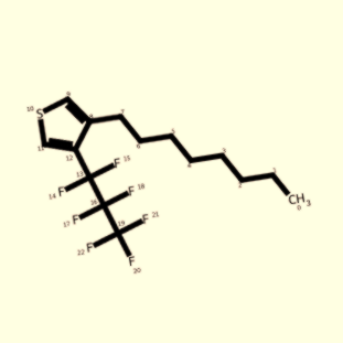 CCCCCCCCc1cscc1C(F)(F)C(F)(F)C(F)(F)F